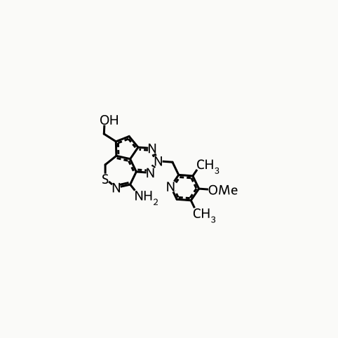 COc1c(C)cnc(Cn2nc3cc(CO)c4c-3c(n2)C(N)=NSC4)c1C